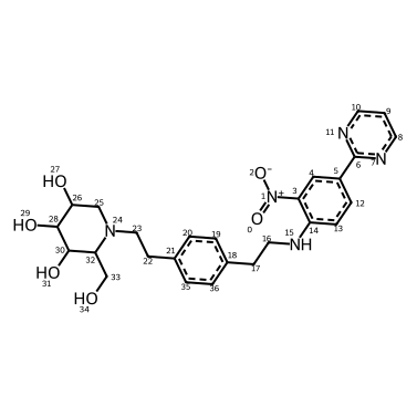 O=[N+]([O-])c1cc(-c2ncccn2)ccc1NCCc1ccc(CCN2CC(O)C(O)C(O)C2CO)cc1